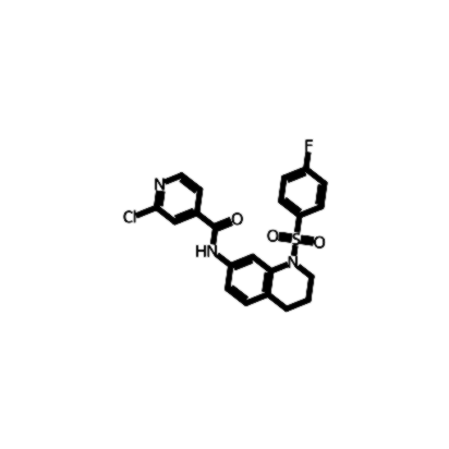 O=C(Nc1ccc2c(c1)N(S(=O)(=O)c1ccc(F)cc1)CCC2)c1ccnc(Cl)c1